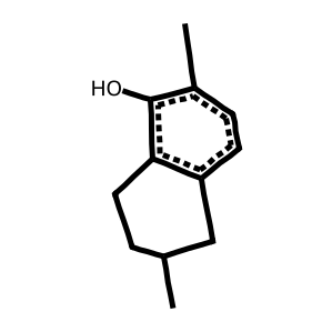 Cc1ccc2c(c1O)CCC(C)C2